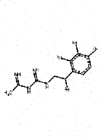 [2H]c1ccc(C([2H])CNC(=N)NC(C)=N)c([2H])c1[2H]